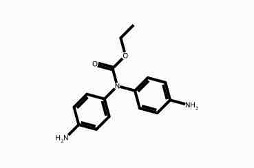 CCOC(=O)N(c1ccc(N)cc1)c1ccc(N)cc1